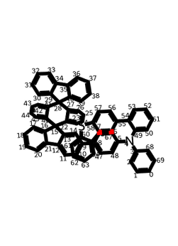 c1ccc(N(c2ccc(-c3ccc4c(c3)C3(c5ccccc5-4)c4ccccc4C4(c5ccccc5-c5ccccc54)c4ccccc43)cc2)c2ccccc2-c2ccc3sc4ccccc4c3c2)cc1